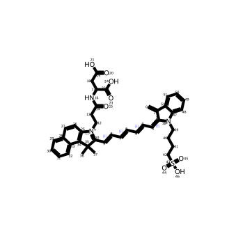 C=c1\c(=C/C=C/C=C/C=C/C2=[N+](CCC(=O)NC(CC(=O)O)C(=O)O)c3ccc4ccccc4c3C2(C)C)n(CCCCS(=O)(=O)O)c2ccccc12